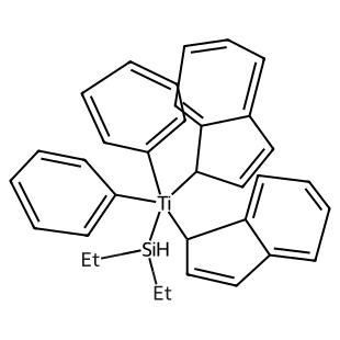 CC[SiH](CC)[Ti]([c]1ccccc1)([c]1ccccc1)([CH]1C=Cc2ccccc21)[CH]1C=Cc2ccccc21